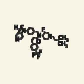 CC(C)CCN1CC[C@H](N(Cc2ccc(N(C)c3ccncc3)cc2)C(=O)C=Cc2ccc(C(F)(F)F)cc2)[C@@H](F)C1